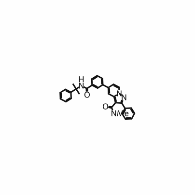 CNC(=O)c1c(-c2ccccc2)nn2ccc(-c3cccc(C(=O)NC(C)(C)c4ccccc4)c3)cc12